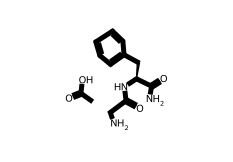 CC(=O)O.NCC(=O)N[C@@H](Cc1ccccc1)C(N)=O